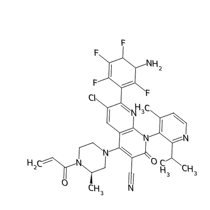 C=CC(=O)N1CCN(c2c(C#N)c(=O)n(-c3c(C)ccnc3C(C)C)c3nc(C4=C(F)C(N)C(F)C(F)=C4F)c(Cl)cc23)C[C@H]1C